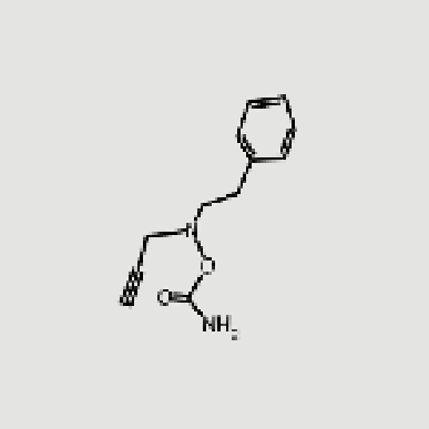 C#CCN(CCc1ccccc1)OC(N)=O